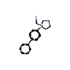 IC[Si]1(c2ccc(-c3ccccc3)cc2)CCCC1